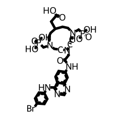 O=C(O)CC1CCN(CP(=O)(O)O)CCN(CC(=O)Nc2ccc3c(Nc4ccc(Br)cc4)ncnc3c2)CCN(CP(=O)(O)O)CC1